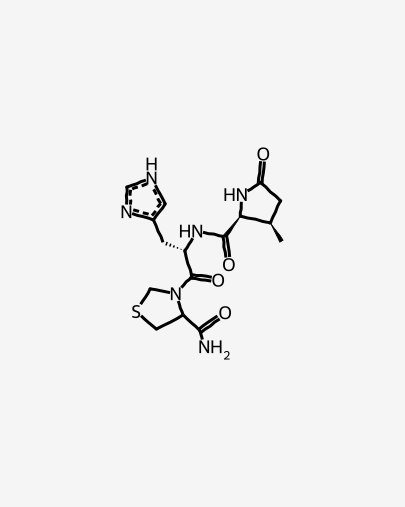 C[C@@H]1CC(=O)N[C@@H]1C(=O)N[C@@H](Cc1c[nH]cn1)C(=O)N1CSCC1C(N)=O